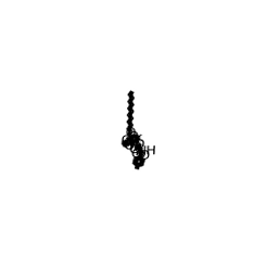 CCCCCCCCCCCCOC[C@]12O[C@H](C)[C@H](OC(=O)NS(=O)(=O)c3ccc(C)cc3)[C@H]1OC(C)(C)O2